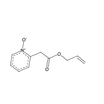 C=CCOC(=O)Cc1cccc[n+]1[O-]